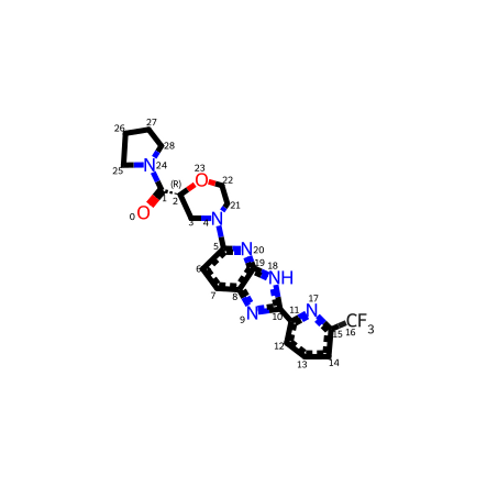 O=C([C@H]1CN(c2ccc3nc(-c4cccc(C(F)(F)F)n4)[nH]c3n2)CCO1)N1CCCC1